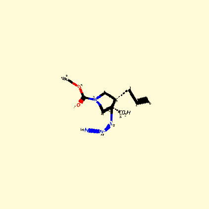 C=CC[C@H]1CN(C(=O)OC(C)(C)C)C[C@@]1(N=[N+]=[N-])C(=O)O